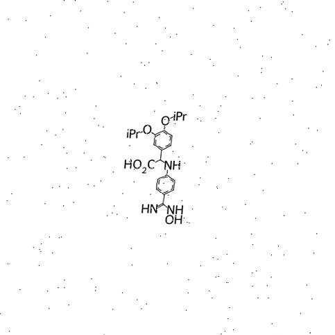 CC(C)Oc1ccc(C(Nc2ccc(C(=N)NO)cc2)C(=O)O)cc1OC(C)C